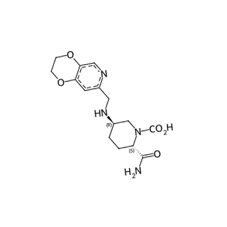 NC(=O)[C@@H]1CC[C@@H](NCc2cc3c(cn2)OCCO3)CN1C(=O)O